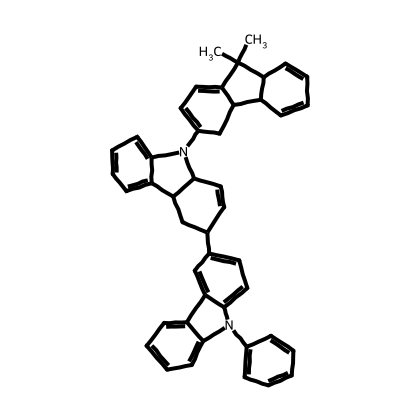 CC1(C)C2=CC=C(N3c4ccccc4C4CC(c5ccc6c(c5)c5ccccc5n6-c5ccccc5)C=CC43)CC2C2C=CC=CC21